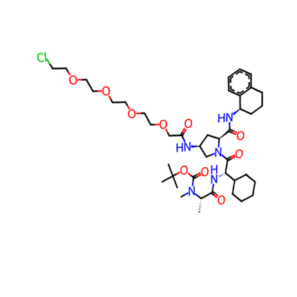 C[C@@H](C(=O)N[C@H](C(=O)N1C[C@@H](NC(=O)COCCOCCOCCOCCCl)C[C@H]1C(=O)N[C@@H]1CCCc2ccccc21)C1CCCCC1)N(C)C(=O)OC(C)(C)C